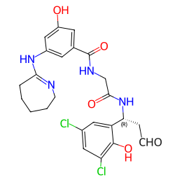 O=CC[C@@H](NC(=O)CNC(=O)c1cc(O)cc(NC2=NCCCCC2)c1)c1cc(Cl)cc(Cl)c1O